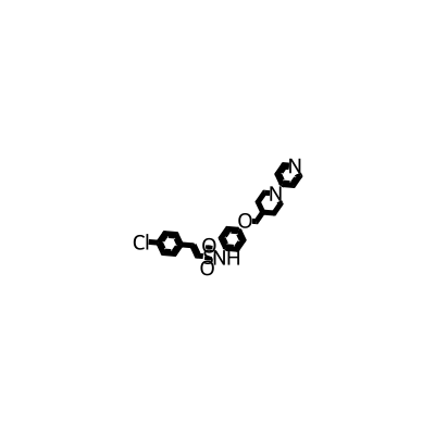 O=S(=O)(/C=C/c1ccc(Cl)cc1)Nc1ccc(OCC2CCN(c3ccncc3)CC2)cc1